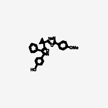 COc1ccc(-c2nnc(C3(c4onc(-c5ccc(O)cc5)c4-c4ccccc4)CC3)o2)cc1